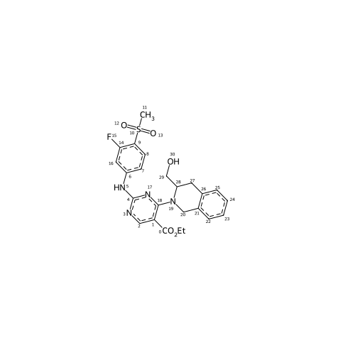 CCOC(=O)c1cnc(Nc2ccc(S(C)(=O)=O)c(F)c2)nc1N1Cc2ccccc2CC1CO